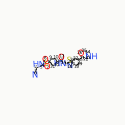 N#CCCNS(=O)(=O)c1ccc(C(=O)Nc2nc3ccc(C4CNCCO4)cc3s2)cc1